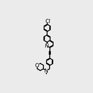 CN(Cc1ccc(C#Cc2ccc3cc(-c4ccc(Cl)cc4)ccc3n2)cc1)C1CCOCC1